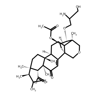 CC(=O)O[C@@H]1C[C@@]23COC[C@@](C)([C@@H]2CC[C@H]2C3=CC(=O)[C@@]3(C)[C@H](C(=O)O)[C@@](C)([C@H](C)C(C)C)CC[C@]23C)[C@H]1OCC(N)CO